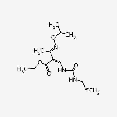 C=CCNC(=O)NC=C(C(=O)OCC)C(C)=NOC(C)C